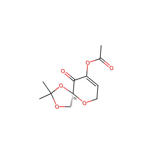 CC(=O)OC1=CCO[C@]2(COC(C)(C)O2)C1=O